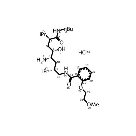 CCCCNC(=O)[C@@H](C[C@H](O)[C@@H](N)C[C@H](CNC(=O)c1ccccc1OCCOC)C(C)C)C(C)C.Cl